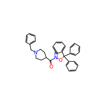 O=C(NOC(c1ccccc1)(c1ccccc1)c1ccccc1)C1CCN(Cc2ccccc2)CC1